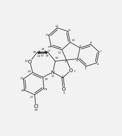 O=C1OC2(c3ccccc3-c3ccccc32)C2c3ccccc3Oc3ccc(Cl)cc3N12